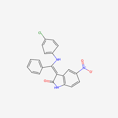 O=C1Nc2ccc([N+](=O)[O-])cc2C1=C(Nc1ccc(Cl)cc1)c1ccccc1